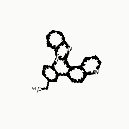 CCc1ccc2c(c1)c1ccc3ncccc3c1c1nc3ccccc3n21